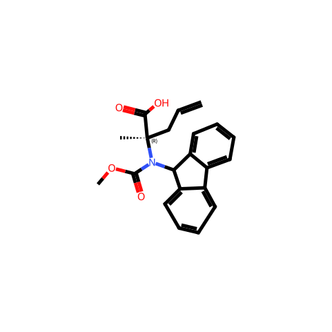 C=CC[C@](C)(C(=O)O)N(C(=O)OC)C1c2ccccc2-c2ccccc21